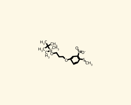 CSc1ccc(OCCCO[Si](C)(C)C(C)(C)C)cc1[N+](=O)[O-]